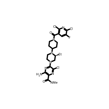 CC[C@H]1CN(c2nc(N)c(C(=O)NC)nc2Cl)CCN1C1CCN(C(=O)c2cc(F)c(Cl)nc2Cl)CC1